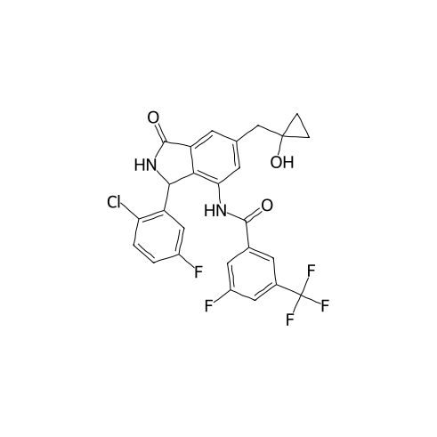 O=C(Nc1cc(CC2(O)CC2)cc2c1C(c1cc(F)ccc1Cl)NC2=O)c1cc(F)cc(C(F)(F)F)c1